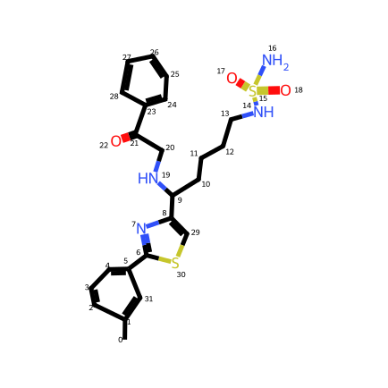 Cc1cccc(-c2nc(C(CCCCNS(N)(=O)=O)NCC(=O)c3ccccc3)cs2)c1